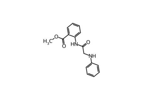 COC(=O)c1ccccc1NC(=O)CNc1ccccc1